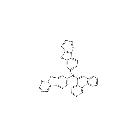 c1ccc2c(c1)cc(N(c1ccc3c(c1)oc1ccncc13)c1ccc3c(c1)oc1ncccc13)c1ccccc12